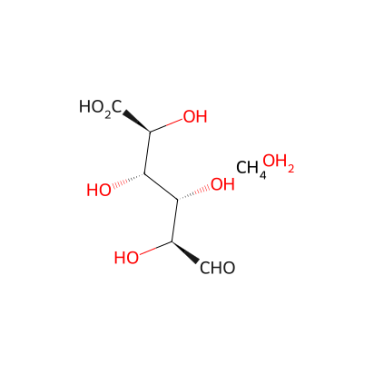 C.O.O=C[C@@H](O)[C@@H](O)[C@H](O)[C@H](O)C(=O)O